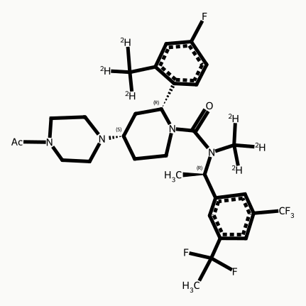 [2H]C([2H])([2H])c1cc(F)ccc1[C@H]1C[C@@H](N2CCN(C(C)=O)CC2)CCN1C(=O)N([C@H](C)c1cc(C(C)(F)F)cc(C(F)(F)F)c1)C([2H])([2H])[2H]